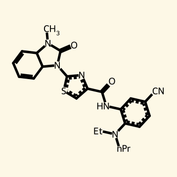 CCCN(CC)c1ccc(C#N)cc1NC(=O)c1csc(N2C(=O)N(C)C3C=CC=CC32)n1